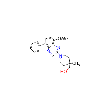 COc1ccc(-c2ccccc2)c2ncc(N3CCC(C)(CO)CC3)nc12